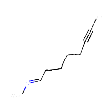 [CH2]CC#CCCCC/C=N/OC